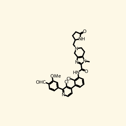 COc1cc(-c2nccc(-c3cccc(NC(=O)c4nc5c(n4C)CCN(CC4CCC(=O)N4)C5)c3Cl)c2Cl)ccc1C=O